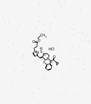 CCOC(=O)CCn1ccc(/C=C2/CN([C@@H](C(=O)C3CC3)c3ccccc3F)CC[C@H]2S)n1.Cl